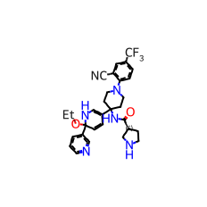 CCOC1(c2cccnc2)C=CC(C2(NC(=O)[C@H]3CCNC3)CCN(c3ccc(C(F)(F)F)cc3C#N)CC2)=CN1